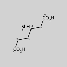 O=C(O)CCCCC(=O)O.[SbH3]